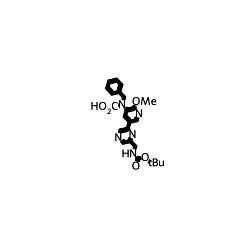 COc1ncc(-c2cncc(CNC(=O)OC(C)(C)C)n2)cc1N(Cc1ccccc1)C(=O)O